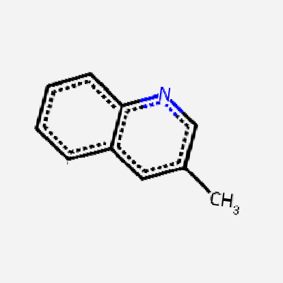 Cc1cnc2ccc[c]c2c1